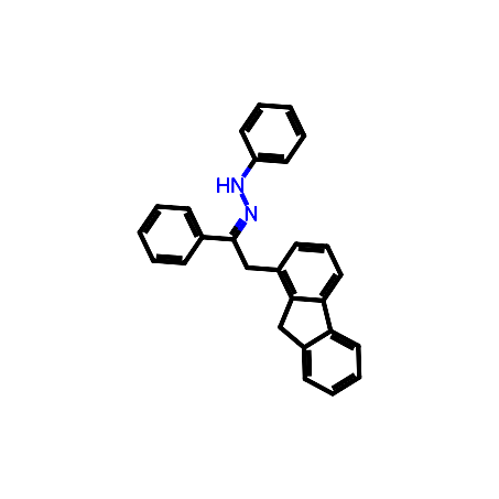 c1ccc(NN=C(Cc2cccc3c2Cc2ccccc2-3)c2ccccc2)cc1